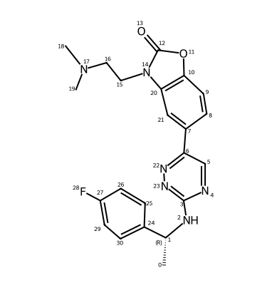 C[C@@H](Nc1ncc(-c2ccc3oc(=O)n(CCN(C)C)c3c2)nn1)c1ccc(F)cc1